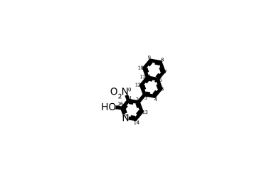 O=[N+]([O-])c1c(-c2ccc3ccccc3c2)ccnc1O